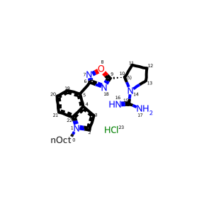 CCCCCCCCn1ccc2c(-c3noc([C@@H]4CCCN4C(=N)N)n3)cccc21.Cl